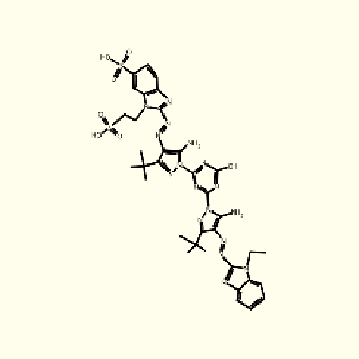 CCn1c(N=Nc2c(C(C)(C)C)nn(-c3nc(O)nc(-n4nc(C(C)(C)C)c(N=Nc5nc6ccc(S(=O)(=O)O)cc6n5CCS(=O)(=O)O)c4N)n3)c2N)nc2ccccc21